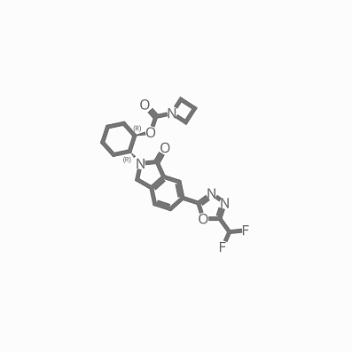 O=C(O[C@@H]1CCCC[C@H]1N1Cc2ccc(-c3nnc(C(F)F)o3)cc2C1=O)N1CCC1